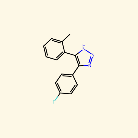 Cc1ccccc1-c1[nH]nnc1-c1ccc(F)cc1